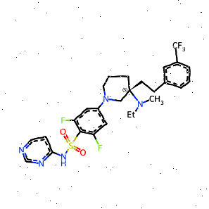 CCN(C)[C@@]1(CCc2cccc(C(F)(F)F)c2)CCCN(c2cc(F)c(S(=O)(=O)Nc3ccncn3)c(F)c2)C1